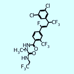 CN(NC(=O)c1ccc(C(F)=CC(c2cc(Cl)cc(Cl)c2)C(F)(F)F)cc1C(F)(F)F)C(=O)NCC(F)(F)F